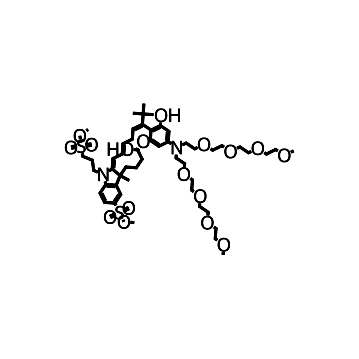 COCCOCCOCCOCCN(CCOCCOCCOCCOC)c1ccc(/C(=C\C/C=C/C=C2/N(CCCS(=O)(=O)OC)c3ccc(S(=O)(=O)OC)cc3C2(C)CCCC(=O)O)C(C)(C)C)c(O)c1